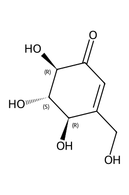 O=C1C=C(CO)[C@@H](O)[C@H](O)[C@H]1O